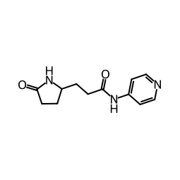 O=C(CCC1CCC(=O)N1)Nc1ccncc1